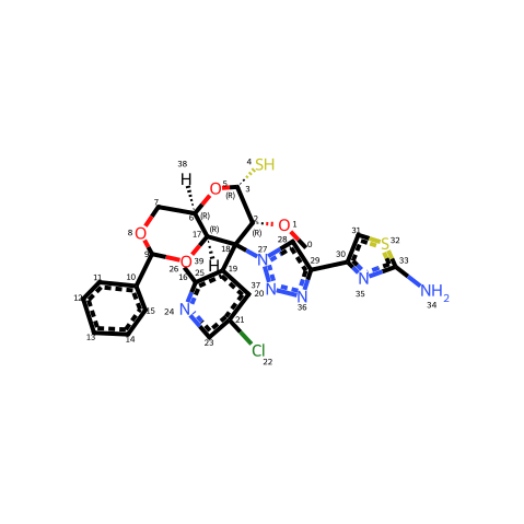 CO[C@H]1[C@@H](S)O[C@@H]2COC(c3ccccc3)O[C@@H]2C1(c1cc(Cl)cnc1C)n1cc(-c2csc(N)n2)nn1